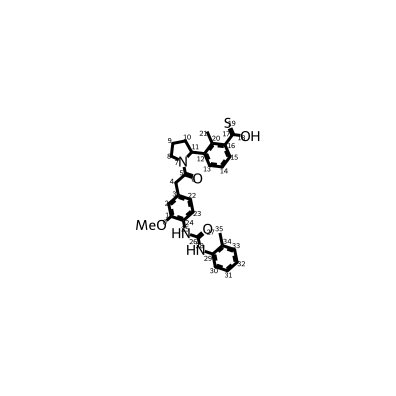 COc1cc(CC(=O)N2CCCC2c2cccc(C(O)=S)c2C)ccc1NC(=O)Nc1ccccc1C